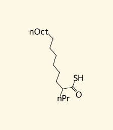 CCCCCCCCCCCCCCC(CCC)C(=O)S